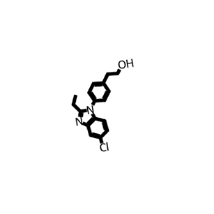 CCc1nc2cc(Cl)ccc2n1-c1ccc(CCO)cc1